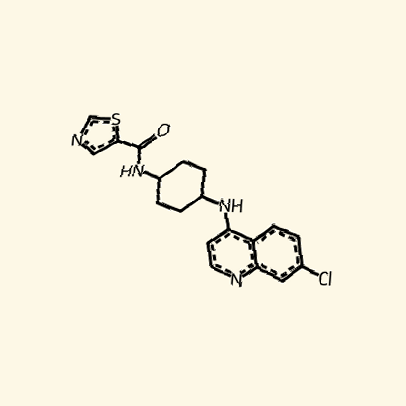 O=C(NC1CCC(Nc2ccnc3cc(Cl)ccc23)CC1)c1cncs1